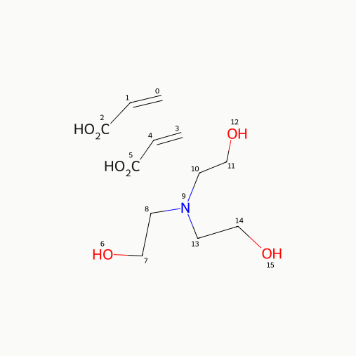 C=CC(=O)O.C=CC(=O)O.OCCN(CCO)CCO